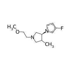 COCCN1CC(C)[C@H](n2ccc(F)c2)C1